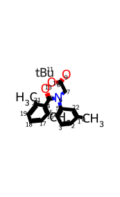 Cc1cccc(N(CC(=O)OC(C)(C)C)C(=O)c2c(C)cccc2C)c1